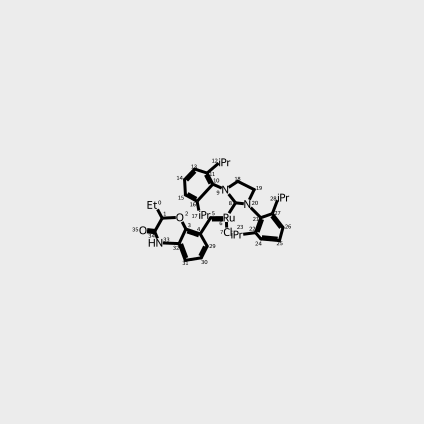 CCC1Oc2c([CH]=[Ru]([Cl])[CH]3N(c4c(C(C)C)cccc4C(C)C)CCN3c3c(C(C)C)cccc3C(C)C)cccc2NC1=O